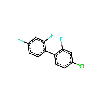 Fc1[c]c(F)c(-c2ccc(Cl)cc2F)cc1